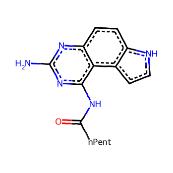 CCCCCC(=O)Nc1nc(N)nc2ccc3[nH]ccc3c12